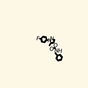 Cc1c(OC(=O)NCc2ccccc2)cnn1-c1ccc(F)cc1